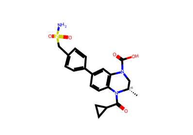 C[C@H]1CN(C(=O)O)c2cc(-c3ccc(CS(N)(=O)=O)cc3)ccc2N1C(=O)C1CC1